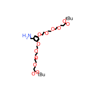 CC(C)(C)OC(=O)CCOCCOCCOCCOc1cc(CN)cc(OCCOCCOCCOCCC(=O)OC(C)(C)C)c1